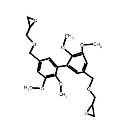 COc1cc(COCC2CO2)cc(-c2cc(COCC3CO3)cc(OC)c2OC)c1OC